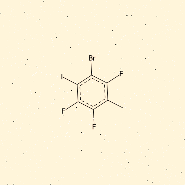 Cc1c(F)c(F)c(I)c(Br)c1F